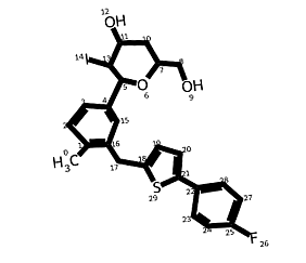 Cc1ccc(C2OC(CO)CC(O)C2I)cc1Cc1ccc(-c2ccc(F)cc2)s1